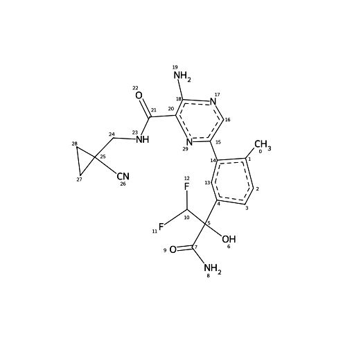 Cc1ccc(C(O)(C(N)=O)C(F)F)cc1-c1cnc(N)c(C(=O)NCC2(C#N)CC2)n1